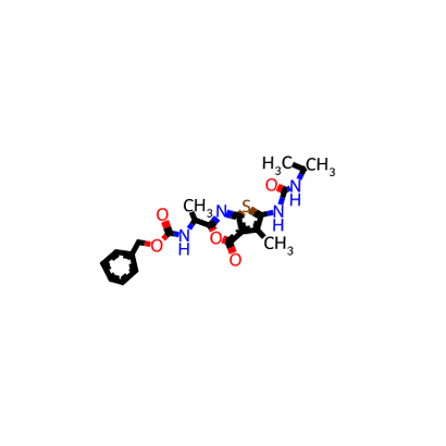 Cc1c(NC(=O)NC(C)C)sc2nc(C(C)NC(=O)OCc3ccccc3)oc(=O)c12